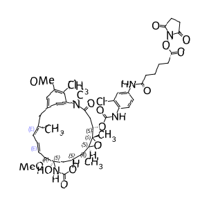 COc1cc2cc(c1Cl)N(C)C(=O)C[C@H](OC(=O)Nc1ccc(NC(=O)CCCCC(=O)ON3C(=O)CCC3=O)cc1Cl)[C@]1(C)O[C@H]1[C@H](C)[C@@H]1C[C@@](O)(NC(=O)O1)[C@H](OC)/C=C/C=C(\C)C2